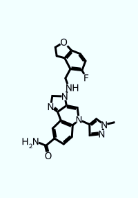 Cn1cc(N2C=C3C(=NCN3NCc3c(F)ccc4c3CCO4)c3cc(C(N)=O)ccc32)cn1